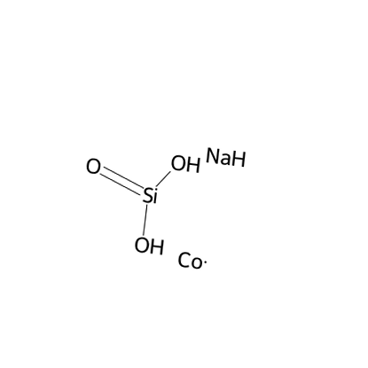 O=[Si](O)O.[Co].[NaH]